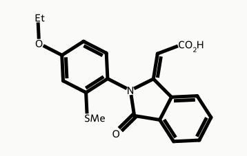 CCOc1ccc(N2C(=O)c3ccccc3/C2=C\C(=O)O)c(SC)c1